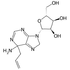 C=CCC1(N)N=CN=C2C1=NCN2[C@@H]1O[C@H](CO)[C@@H](O)[C@H]1O